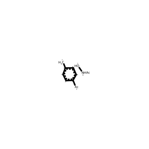 CC(=O)NO.CC(=O)c1ccc(C)cc1